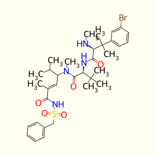 CN[C@H](C(=O)N[C@H](C(=O)N(C)C(C=C(C)C(=O)NS(=O)(=O)Cc1ccccc1)C(C)C)C(C)(C)C)C(C)(C)c1cccc(Br)c1